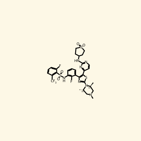 C[C@H]1CN(C)C[C@H](C)N1c1nc(-c2cccc(NS(=O)(=O)c3c(F)cccc3C(F)(F)F)c2F)c(-c2ccnc(NC3CCS(=O)(=O)CC3)n2)s1